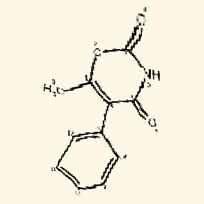 Cc1oc(=O)[nH]c(=O)c1-c1ccccc1